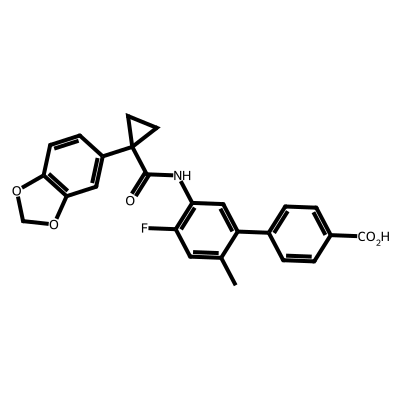 Cc1cc(F)c(NC(=O)C2(c3ccc4c(c3)OCO4)CC2)cc1-c1ccc(C(=O)O)cc1